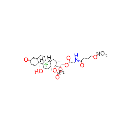 CCC(=O)O[C@@]1(C(=O)COC(=O)CNC(=O)CCCO[N+](=O)[O-])[C@@H](C)C[C@H]2[C@@H]3CCC4=CC(=O)C=C[C@]4(C)[C@@]3(F)[C@@H](O)C[C@@]21C